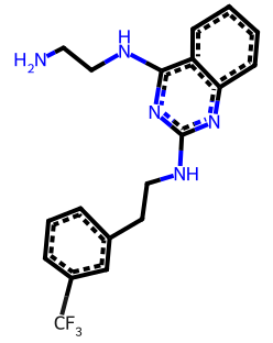 NCCNc1nc(NCCc2cccc(C(F)(F)F)c2)nc2ccccc12